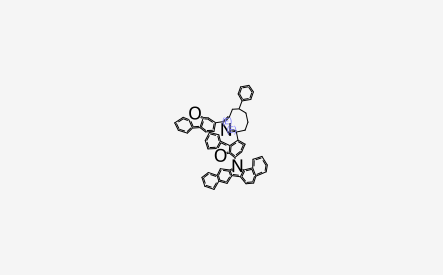 C1=C(c2ccc3c(c2)oc2ccccc23)/N=C(/c2ccc(-n3c4cc5ccccc5cc4c4ccc5ccccc5c43)c3oc4ccccc4c23)CCCC(c2ccccc2)C/1